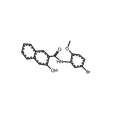 COc1ccc(Br)cc1NC(=O)c1cc2ccccc2cc1O